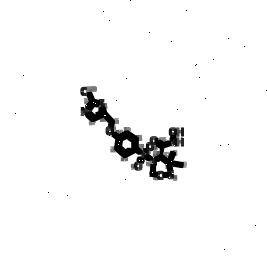 CC1(C)SCCN(S(=O)(=O)c2ccc(OCc3cnc(Cl)s3)cc2)[C@H]1C(=O)NO